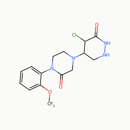 O=C1NNCC(N2CCN(c3ccccc3OC(F)(F)F)C(=O)C2)C1Cl